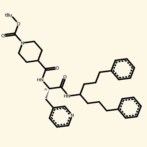 CC(C)(C)OC(=O)N1CCC(C(=O)N[C@@H](Cc2cccnc2)C(=O)NC(CCCc2ccccc2)CCCc2ccccc2)CC1